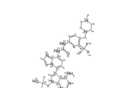 CN1CCN(Cc2ccc(NC(=O)Nc3ccc(-c4cn(CC(C)(C)O)c5ncnc(N)c45)n4ccnc34)cc2C(F)(F)F)CC1